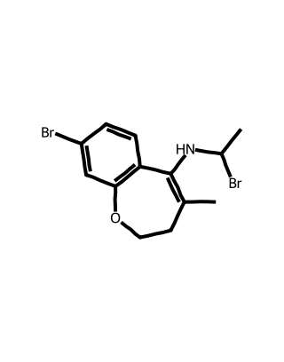 CC1=C(NC(C)Br)c2ccc(Br)cc2OCC1